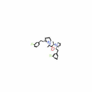 CC(C(=O)C(C)N1CCC[C@H]1CCc1cccc(F)c1)N1CCC[C@H]1CCc1cccc(F)c1